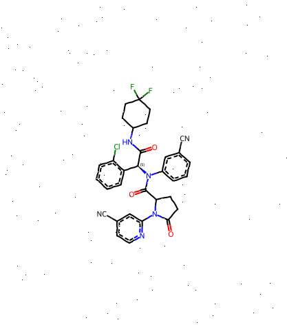 N#Cc1cccc(N(C(=O)C2CCC(=O)N2c2cc(C#N)ccn2)[C@H](C(=O)NC2CCC(F)(F)CC2)c2ccccc2Cl)c1